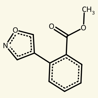 COC(=O)c1ccccc1-c1cnoc1